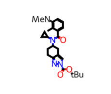 CNc1cccc(C(=O)N(C2CC2)C2CCc3nn(C(=O)OC(C)(C)C)cc3C2)c1C